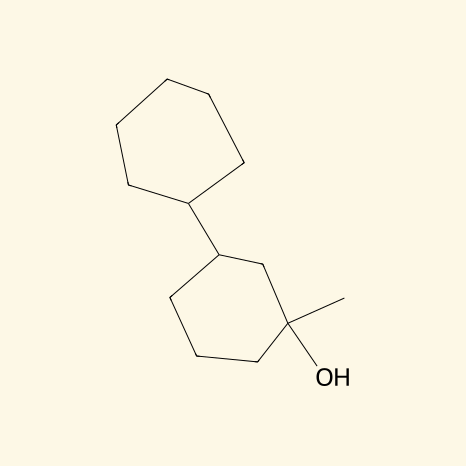 CC1(O)CCCC(C2CCCCC2)C1